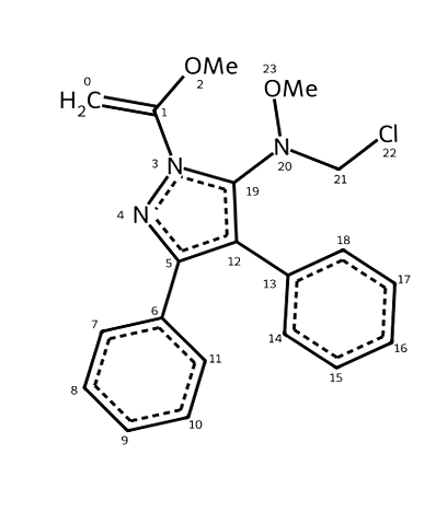 C=C(OC)n1nc(-c2ccccc2)c(-c2ccccc2)c1N(CCl)OC